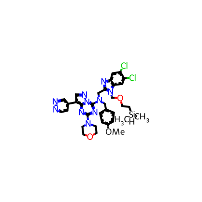 COc1ccc(CN(Cc2nc3cc(Cl)c(Cl)cc3n2COCC[SiH](C)C)c2nc(N3CCOCC3)nc3c(-c4ccnnc4)cnn23)cc1